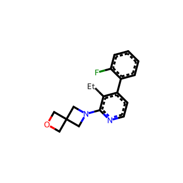 CCc1c(-c2ccccc2F)ccnc1N1CC2(COC2)C1